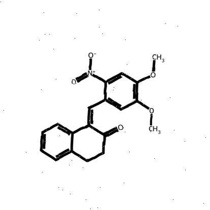 COc1cc(C=C2C(=O)CCc3ccccc32)c([N+](=O)[O-])cc1OC